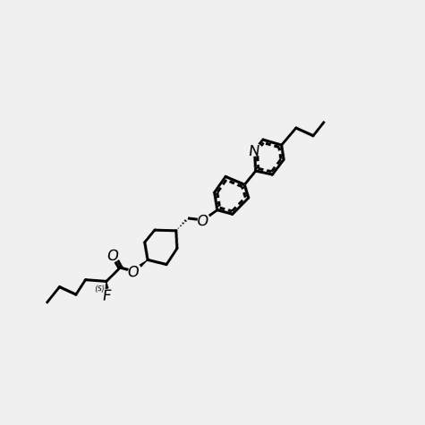 CCCC[C@H](F)C(=O)O[C@H]1CC[C@H](COc2ccc(-c3ccc(CCC)cn3)cc2)CC1